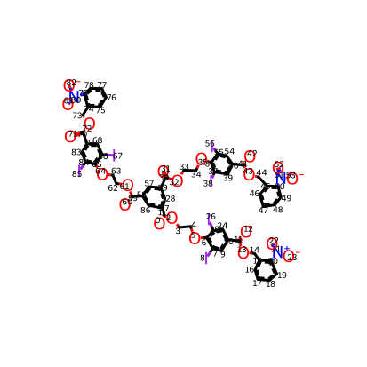 O=C(OCCOc1c(I)cc(C(=O)OCc2ccccc2[N+](=O)[O-])cc1I)c1cc(C(=O)OCCOc2c(I)cc(C(=O)OCc3ccccc3[N+](=O)[O-])cc2I)cc(C(=O)OCCOc2c(I)cc(C(=O)OCc3ccccc3[N+](=O)[O-])cc2I)c1